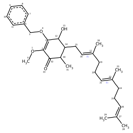 COC1=C(OCc2ccccc2)C(O)C(C/C=C(\C)CC/C=C(\C)CCC=C(C)C)C(C)C1=O